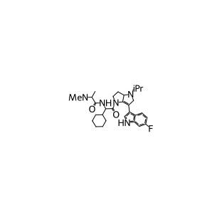 CNC(C)C(=O)NC(C(=O)N1CCC2C1=C(c1c[nH]c3cc(F)ccc13)CN2C(C)C)C1CCCCC1